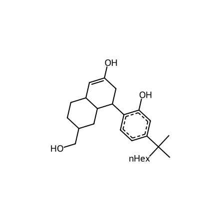 CCCCCCC(C)(C)c1ccc(C2CC(O)=CC3CCC(CO)CC32)c(O)c1